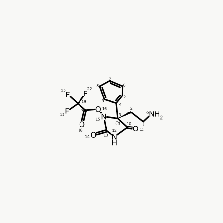 NCC[C@@]1(c2ccccc2)C(=O)NC(=O)N1OC(=O)C(F)(F)F